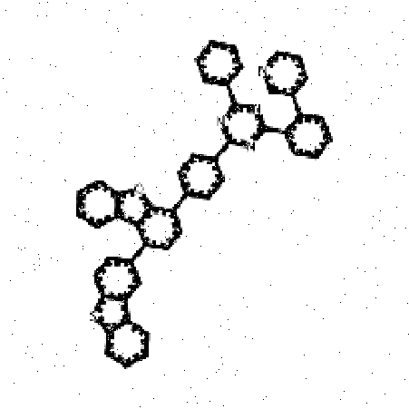 c1ccc(-c2nc(-c3ccc(-c4ccc(-c5ccc6sc7ccccc7c6c5)c5c4oc4ccccc45)cc3)nc(-c3ccccc3-c3cccnc3)n2)cc1